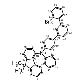 CC1(C)c2ccccc2-c2c(-n3c4ccccc4c4cc(-c5cccc(-c6ccccc6Br)c5)ccc43)cccc21